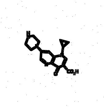 O=C(O)c1cn(C2CC2)c2cc(N3CCNCC3)cnc2c1=O